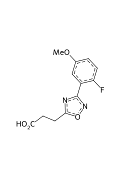 COc1ccc(F)c(-c2noc(CCC(=O)O)n2)c1